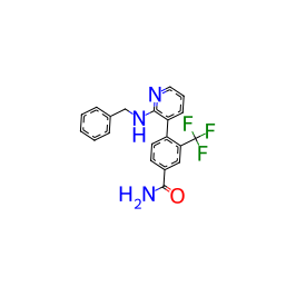 NC(=O)c1ccc(-c2cccnc2NCc2ccccc2)c(C(F)(F)F)c1